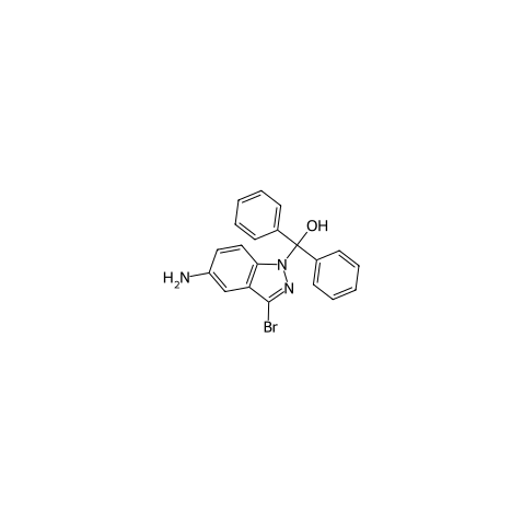 Nc1ccc2c(c1)c(Br)nn2C(O)(c1ccccc1)c1ccccc1